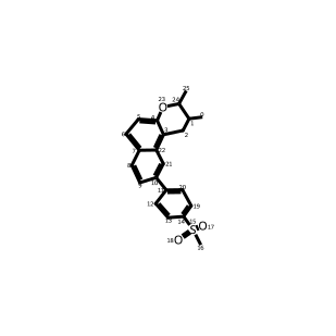 CC1Cc2c(ccc3ccc(-c4ccc(S(C)(=O)=O)cc4)cc23)OC1C